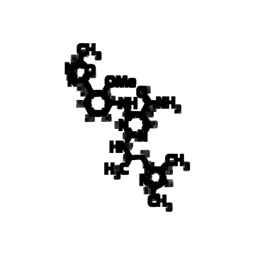 COc1c(Nc2nc(NC(C)Cn3nc(C)cc3C)ncc2C(N)=O)cccc1-c1nnc(C)o1